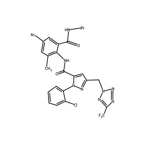 CC(=O)c1cc(C)c(NC(=O)c2cc(Cn3nnc(C(F)(F)F)n3)nn2-c2ccccc2Cl)c(C(=O)NC(C)C)c1